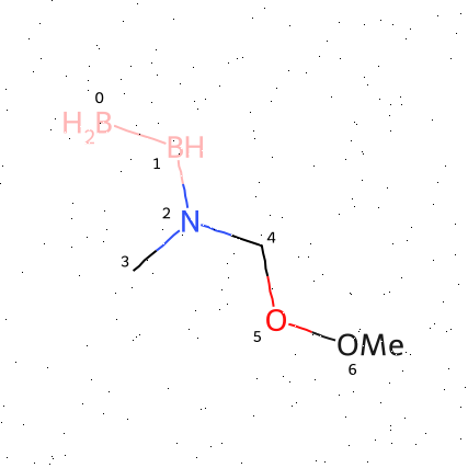 BBN(C)COOC